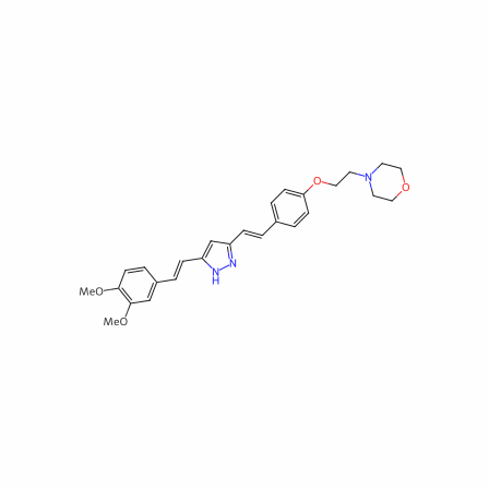 COc1ccc(/C=C/c2cc(C=Cc3ccc(OCCN4CCOCC4)cc3)n[nH]2)cc1OC